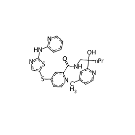 CCCC(O)(CNC(=O)c1cc(Sc2cnc(Nc3ccccn3)s2)ccn1)c1cc(C)ccn1